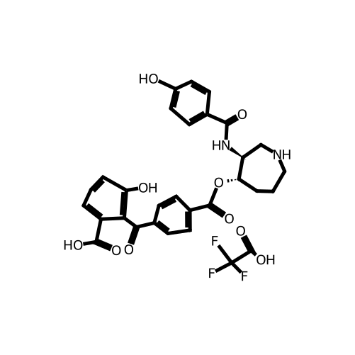 O=C(N[C@H]1CNCCC[C@@H]1OC(=O)c1ccc(C(=O)c2c(O)cccc2C(=O)O)cc1)c1ccc(O)cc1.O=C(O)C(F)(F)F